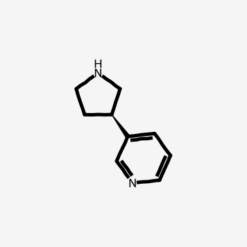 c1cncc([C@H]2CCNC2)c1